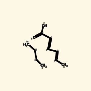 C/C=C/C=C/C(=O)O.CCCC